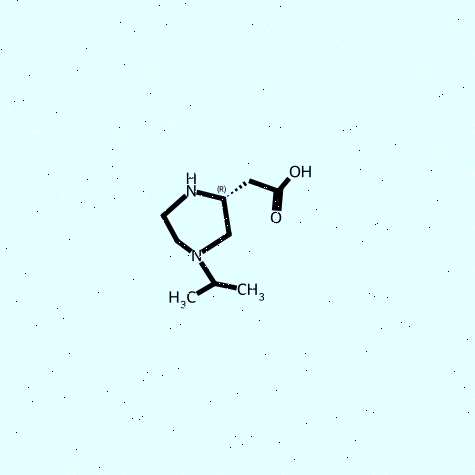 CC(C)N1CCN[C@H](CC(=O)O)C1